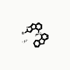 [Cl-].[Cl-].[S]=[Zr+2]([c]1cccc2c1C1=CC(Br)SC1=C2)[c]1cccc2c1-c1ccccc1C2